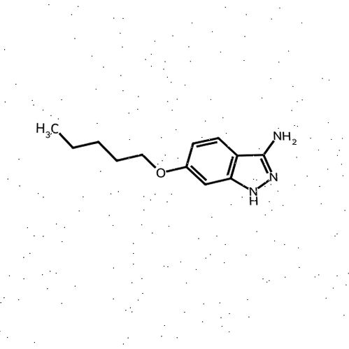 CCCCCOc1ccc2c(N)n[nH]c2c1